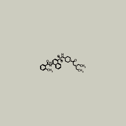 CCN(CC)CC(=O)N1CCC(NS(=O)(=O)c2ccc(NC(=O)c3ccccc3C)c3ccccc23)CC1